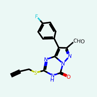 C#CCSc1nc2c(-c3ccc(F)cc3)c(C=O)nn2c(=O)[nH]1